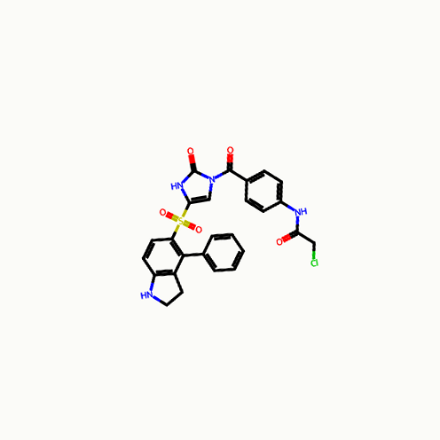 O=C(CCl)Nc1ccc(C(=O)n2cc(S(=O)(=O)c3ccc4c(c3-c3ccccc3)CCN4)[nH]c2=O)cc1